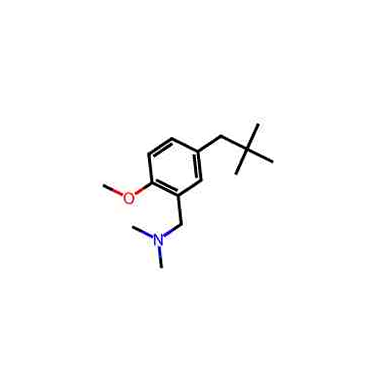 COc1ccc(CC(C)(C)C)cc1CN(C)C